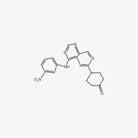 O=C1CCN(c2ncc3ncnc(Nc4cccc([N+](=O)[O-])c4)c3n2)CC1